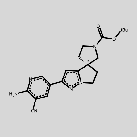 CC(C)(C)OC(=O)N1CC[C@@]2(CCn3nc(-c4cnc(N)c(C#N)c4)cc32)C1